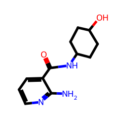 Nc1ncccc1C(=O)NC1CCC(O)CC1